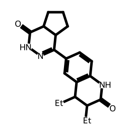 CCC1C(=O)Nc2ccc(C3=NNC(=O)C4CCCC34)cc2C1CC